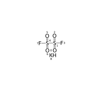 O=S(=O)(F)S(=O)(=O)F.[KH]